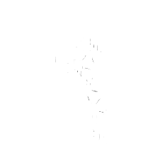 C=CCOC(=O)c1ccc(N=Cc2ccc3c(c2N)C(C)(C)CCC3(C)C)cc1